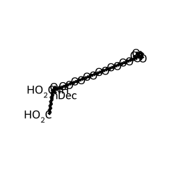 CCCCCCCCCCCC(CCCCCCCCCCC(=O)O)(C(=O)O)C(=O)NCCOCCOCCOCCOCCOCCOCCOCCOCCOCCOCCOCCOCCC(=O)ON1C(=O)CCC1=O